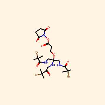 CC(C)(Br)C(=O)CNC(CNC(=O)C(C)(C)Br)(CNC(=O)C(C)(C)Br)OCCC(=O)ON1C(=O)CCC1=O